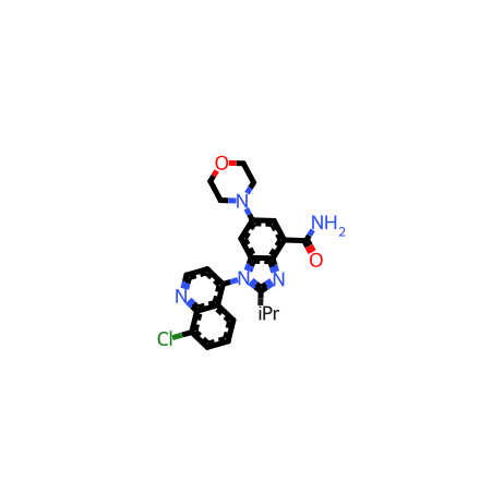 CC(C)c1nc2c(C(N)=O)cc(N3CCOCC3)cc2n1-c1ccnc2c(Cl)cccc12